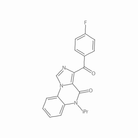 CC(C)n1c(=O)c2c(C(=O)c3ccc(F)cc3)ncn2c2ccccc21